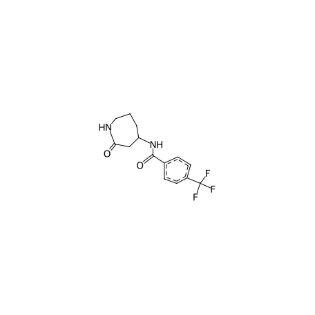 O=C1CC(NC(=O)c2ccc(C(F)(F)F)cc2)CCCN1